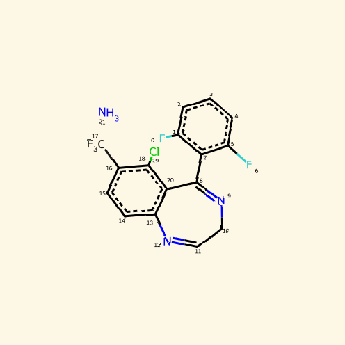 Fc1cccc(F)c1C1=NCC=Nc2ccc(C(F)(F)F)c(Cl)c21.N